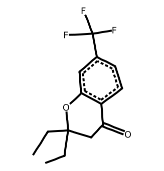 CCC1(CC)CC(=O)c2ccc(C(F)(F)F)cc2O1